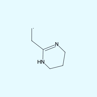 [CH2]CC1=NCCCN1